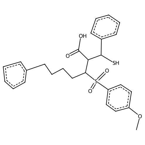 COc1ccc(S(=O)(=O)C(CCCCc2ccccc2)C(C(=O)O)C(S)c2ccccc2)cc1